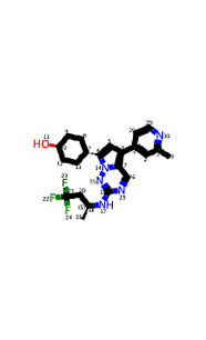 Cc1cc(-c2cc([C@H]3CC[C@H](O)CC3)n3nc(N[C@@H](C)CC(F)(F)F)ncc23)ccn1